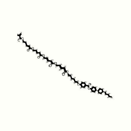 C=C(C)C(=O)OCCCCC(=O)OCCCCC(=O)OCCCCC(=O)OCCCCC(=O)OCCCCCCOc1ccc(C(=O)Oc2ccc([C@H]3CC[C@H](CCCCC)CC3)cc2)cc1